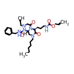 C#CCN1CC(=O)N2[C@@H](CCCNC(=O)OCC=C)C(=O)N(CCCCCC)C[C@@H]2N1C(=O)NCc1ccccc1